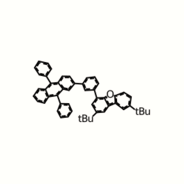 CC(C)(C)c1ccc2oc3c(-c4cccc(-c5ccc6c(-c7ccccc7)c7ccccc7c(-c7ccccc7)c6c5)c4)cc(C(C)(C)C)cc3c2c1